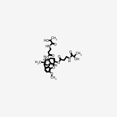 COc1ccc2c3c1O[C@H]1C(OC(=O)CCNC(=O)C(C)O)=CC[C@@]4(OC(=O)CCNC(=O)[C@H](C)O)[C@@H](C2)N(C)CC[C@]314